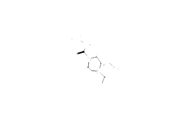 CC(C)CN1CCN(C(=O)OC(C)(C)C)C[C@@H]1CO